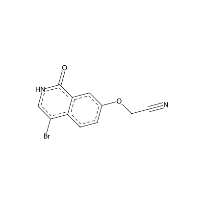 N#CCOc1ccc2c(Br)c[nH]c(=O)c2c1